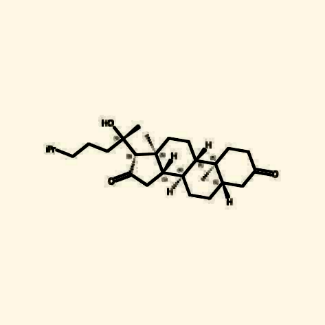 CC(C)CCC[C@](C)(O)[C@H]1C(=O)C[C@H]2[C@@H]3CC[C@H]4CC(=O)CC[C@]4(C)[C@H]3CC[C@@]21C